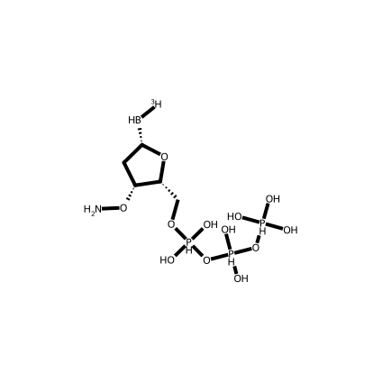 [3H]B[C@H]1C[C@@H](ON)[C@@H](CO[PH](O)(O)O[PH](O)(O)O[PH](O)(O)O)O1